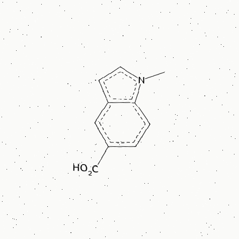 Cn1c[c]c2cc(C(=O)O)ccc21